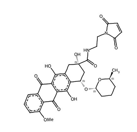 COc1cccc2c1C(=O)c1c(O)c3c(c(O)c1C2=O)C[C@@](O)(C(=O)NCCN1C(=O)C=CC1=O)C[C@@H]3O[C@H]1CCC[C@H](C)O1